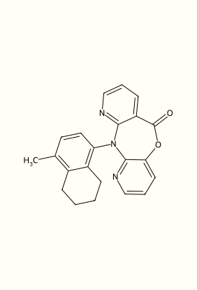 Cc1ccc(N2c3ncccc3OC(=O)c3cccnc32)c2c1CCCC2